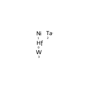 [Hf].[Ni].[Ta].[W]